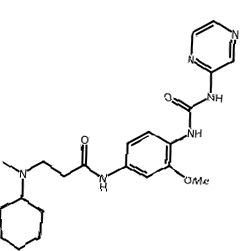 COc1cc(NC(=O)CCN(C)C2CCCCC2)ccc1NC(=O)Nc1cnccn1